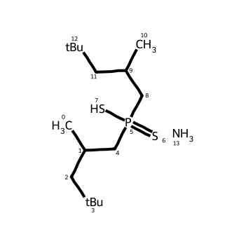 CC(CC(C)(C)C)CP(=S)(S)CC(C)CC(C)(C)C.N